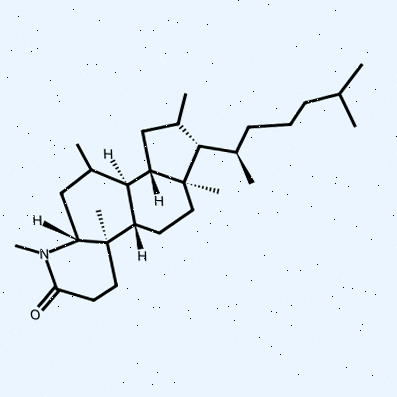 CC(C)CCC[C@@H](C)[C@H]1C(C)C[C@H]2[C@@H]3C(C)C[C@H]4N(C)C(=O)CC[C@]4(C)[C@H]3CC[C@]12C